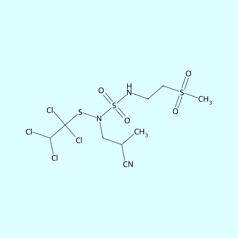 CC(C#N)CN(SC(Cl)(Cl)C(Cl)Cl)S(=O)(=O)NCCS(C)(=O)=O